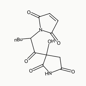 CCCCC(C(=O)C1(O)CC(=O)NC1=O)N1C(=O)C=CC1=O